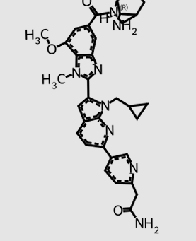 COc1cc(C(=O)N2CC3CCC2[C@@H]3N)cc2nc(-c3cc4ccc(-c5ccc(CC(N)=O)nc5)nc4n3CC3CC3)n(C)c12